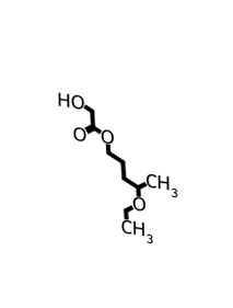 CCOC(C)CCCOC(=O)CO